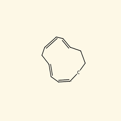 [C]1=C\C=C\C/C=C\C=C\CCC/1